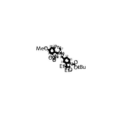 CCC1(CC)C(=O)N(C(=O)OC(C)(C)C)c2ccc(/C=N/N(CC(C)C)C3=NS(=O)(=O)c4cc(OC)ccc43)cc21